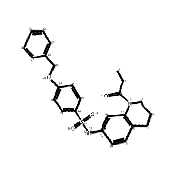 CCC(=O)N1CCCc2ccc(NS(=O)(=O)c3ccc(OCc4ccccc4)cc3)cc21